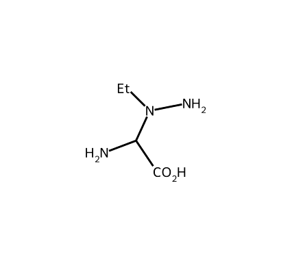 CCN(N)C(N)C(=O)O